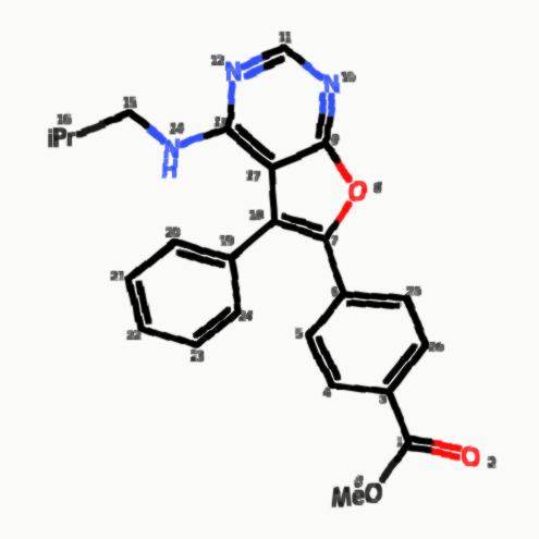 COC(=O)c1ccc(-c2oc3ncnc(NCC(C)C)c3c2-c2ccccc2)cc1